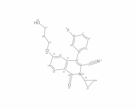 N#Cc1c(-c2cccc(F)c2)c2cc(OCCCO)ccc2c(=O)n1C1CC1